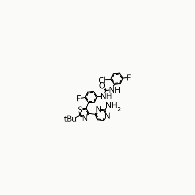 CC(C)(C)c1nc(-c2ccnc(N)n2)c(-c2cc(NC(=O)Nc3cc(F)ccc3Cl)ccc2F)s1